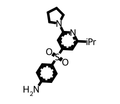 CC(C)c1cc(S(=O)(=O)c2ccc(N)cc2)cc(N2CCCC2)n1